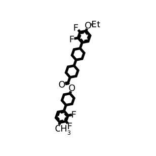 CCOc1ccc(C2CCC(C3CCC(C(=O)OC4CCC(c5ccc(C)c(F)c5F)CC4)CC3)CC2)c(F)c1F